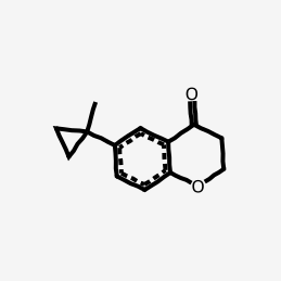 CC1(c2ccc3c(c2)C(=O)CCO3)CC1